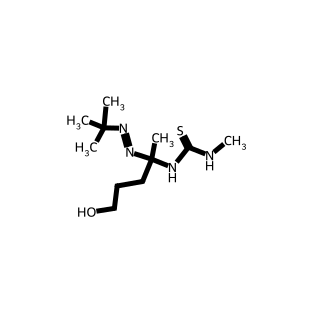 CNC(=S)NC(C)(CCCO)N=NC(C)(C)C